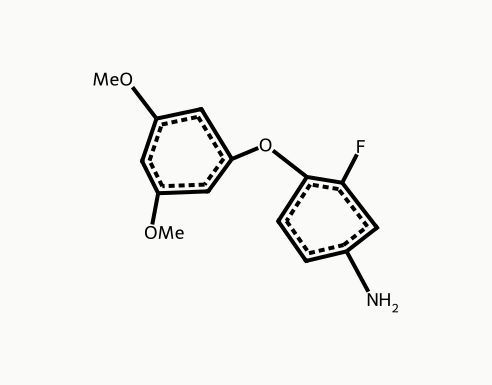 COc1cc(OC)cc(Oc2ccc(N)cc2F)c1